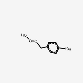 CC(C)(C)c1ccc(COOO)cc1